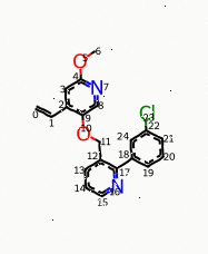 C=Cc1cc(OC)ncc1OCc1cccnc1-c1cccc(Cl)c1